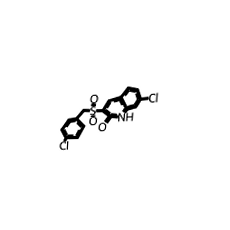 O=c1[nH]c2cc(Cl)ccc2cc1S(=O)(=O)Cc1ccc(Cl)cc1